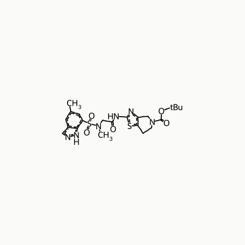 Cc1cc(S(=O)(=O)N(C)CC(=O)Nc2nc3c(s2)CCN(C(=O)OC(C)(C)C)C3)c2[nH]ncc2c1